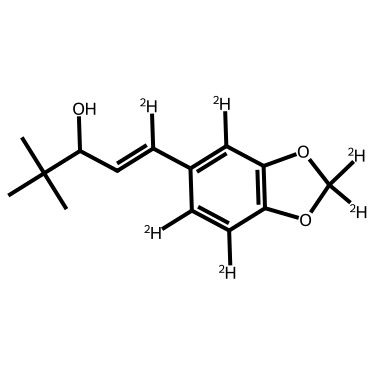 [2H]/C(=C\C(O)C(C)(C)C)c1c([2H])c([2H])c2c(c1[2H])OC([2H])([2H])O2